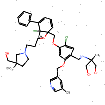 CCOC(=O)C1(CO)CCN(CCCOC2(COc3cc(OCc4cncc(C#N)c4)c(CNC(C)(CO)CO)cc3Cl)C=CC=C(c3ccccc3)C2(C)Cl)C1